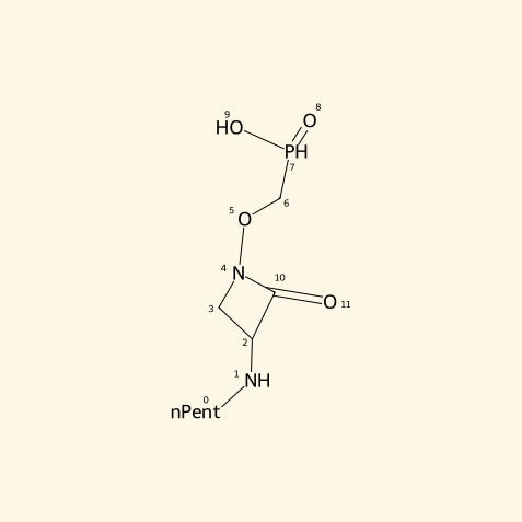 CCCCCNC1CN(OC[PH](=O)O)C1=O